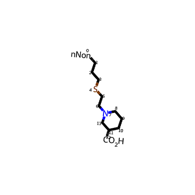 CCCCCCCCCCCCSCCN1CCCC(C(=O)O)C1